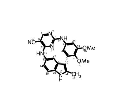 COc1ccc(Nc2ncc(C#N)c(Nc3ccc4[nH]c(C)cc4c3)n2)cc1OC